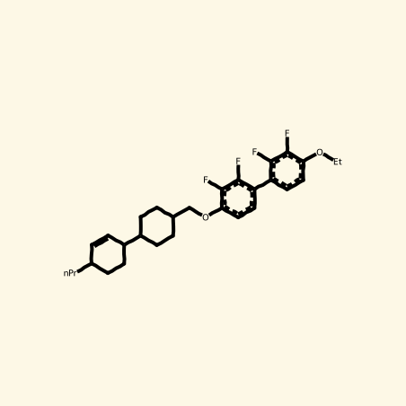 CCCC1C=CC(C2CCC(COc3ccc(-c4ccc(OCC)c(F)c4F)c(F)c3F)CC2)CC1